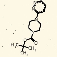 CC(C)(C)OC(=O)N1CCN(c2cccnn2)CC1